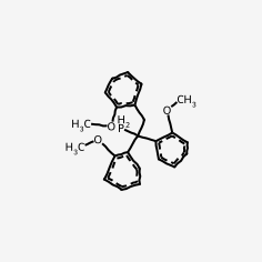 COc1ccccc1CC(P)(c1ccccc1OC)c1ccccc1OC